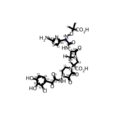 CC(C)(O/N=C(\C(=O)N[C@@H]1C(=O)N2C[C@@](C(=O)O)(N3CCN(NC(=O)C(=O)c4ccc(O)c(O)c4Cl)C(=O)C3=O)S[C@H]12)c1csc(N)n1)C(=O)O